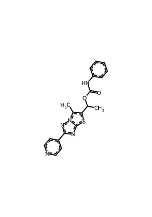 Cc1c(C(C)OC(=O)Nc2ccccc2)sc2nc(-c3ccncc3)nn12